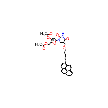 CC(=O)OCC1OC(n2cc(COCCCCCc3ccc4ccc5cccc6ccc3c4c56)c(=O)[nH]c2=O)C[C@@H]1OC(C)=O